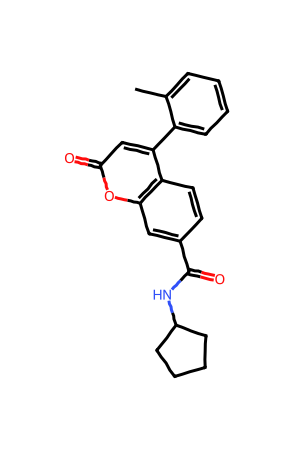 Cc1ccccc1-c1cc(=O)oc2cc(C(=O)NC3CCCC3)ccc12